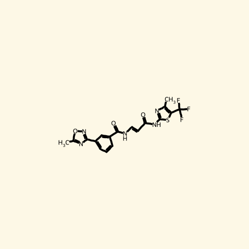 Cc1nc(-c2cccc(C(=O)NC=CC(=O)Nc3nc(C)c(C(F)(F)F)s3)c2)no1